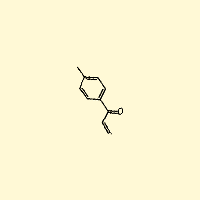 [CH]=CC(=O)c1ccc(C)cc1